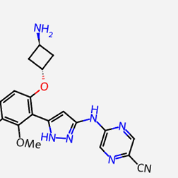 COc1c(F)ccc(O[C@H]2C[C@H](N)C2)c1-c1cc(Nc2cnc(C#N)cn2)n[nH]1